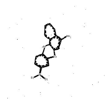 CCN(CC)c1ccc2c(c1)Oc1cc(N)c3ccccc3c1N2